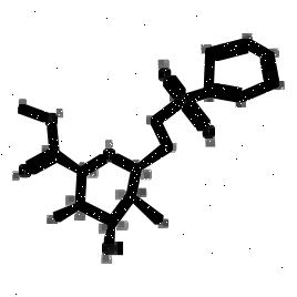 COC(=O)[C@H]1O[C@@H](CCS(=O)(=O)c2ccccc2)[C@@H](C)[C@@H](O)[C@H]1C